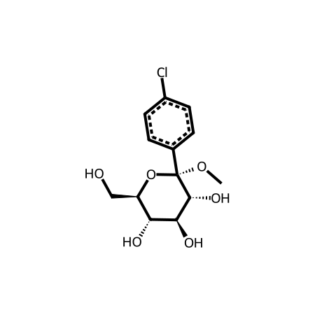 CO[C@@]1(c2ccc(Cl)cc2)O[C@H](CO)[C@@H](O)[C@H](O)[C@H]1O